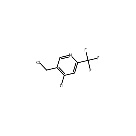 FC(F)(F)c1cc(Cl)c(CCl)cn1